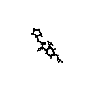 CCc1ncc(C(=O)NCC2CCCO2)c(C)n1